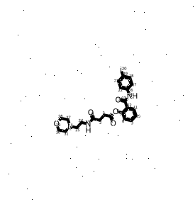 O=C(CCC(=O)Oc1ccccc1C(=O)Nc1ccc(I)cc1)NCCN1CCOCC1